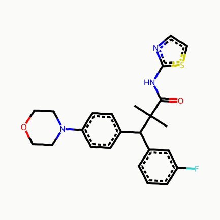 CC(C)(C(=O)Nc1nccs1)C(c1ccc(N2CCOCC2)cc1)c1cccc(F)c1